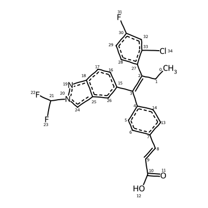 CCC(=C(c1ccc(C=CC(=O)O)cc1)c1ccc2nn(C(F)F)cc2c1)c1ccc(F)cc1Cl